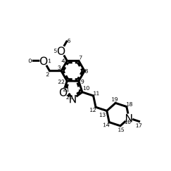 COCc1c(OC)ccc2c(CCC3CCN(C)CC3)noc12